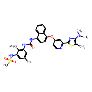 COc1c(NC(=O)Nc2ccc(Oc3ccnc(-c4nc(N(C)C)c(C)s4)c3)c3ccccc23)cc(C(C)(C)C)cc1NS(C)(=O)=O